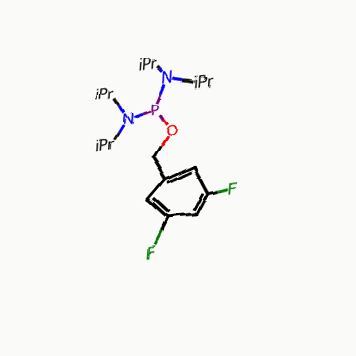 CC(C)N(C(C)C)P(OCc1cc(F)cc(F)c1)N(C(C)C)C(C)C